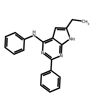 CCc1cc2c(Nc3ccccc3)nc(-c3ccccc3)nc2[nH]1